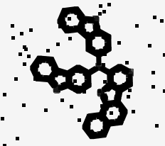 c1ccc2c(c1)ccc1c3cncc(N(c4ccc5oc6ccccc6c5c4)c4ccc5oc6ccccc6c5c4)c3oc21